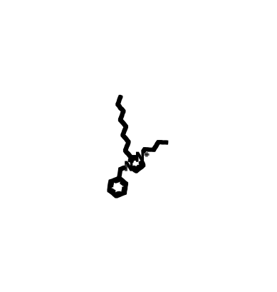 CCCCCCCCc1n(Cc2ccccc2)cc[n+]1CCCC